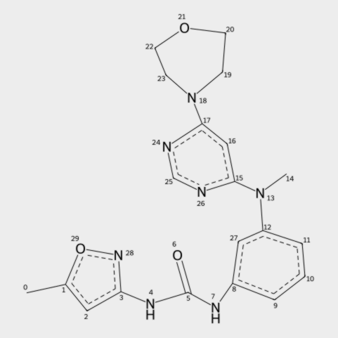 Cc1cc(NC(=O)Nc2cccc(N(C)c3cc(N4CCOCC4)ncn3)c2)no1